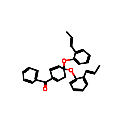 CC=Cc1ccccc1OC1(Oc2ccccc2C=CC)C=CC(C(=O)c2ccccc2)=CC1